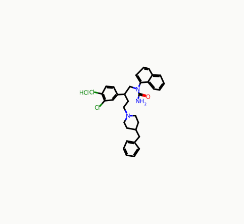 Cl.NC(=O)N(CC(CCN1CCC(Cc2ccccc2)CC1)c1ccc(Cl)c(Cl)c1)c1cccc2ccccc12